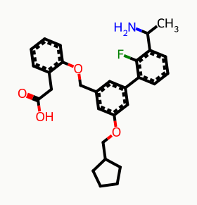 CC(N)c1cccc(-c2cc(COc3ccccc3CC(=O)O)cc(OCC3CCCC3)c2)c1F